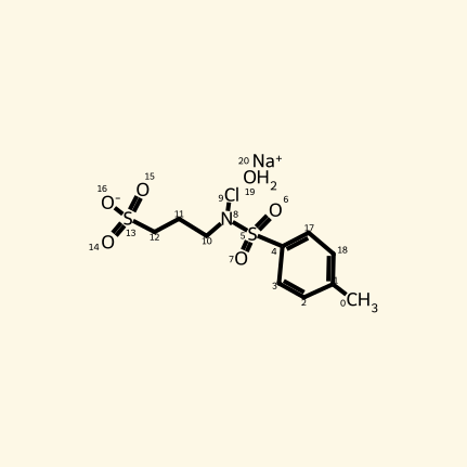 Cc1ccc(S(=O)(=O)N(Cl)CCCS(=O)(=O)[O-])cc1.O.[Na+]